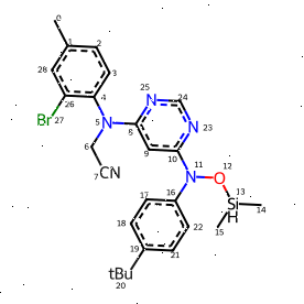 Cc1ccc(N(CC#N)c2cc(N(O[SiH](C)C)c3ccc(C(C)(C)C)cc3)ncn2)c(Br)c1